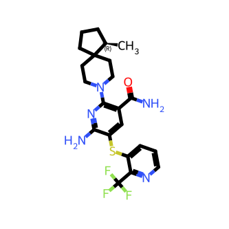 C[C@@H]1CCCC12CCN(c1nc(N)c(Sc3cccnc3C(F)(F)F)cc1C(N)=O)CC2